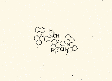 CC1(C)c2cc(N(c3cccc4ccccc34)c3cccc4ccccc34)ccc2-c2c1cc1c3c(cccc23)C(C)(C)c2cc(N(c3cccc4ccccc34)c3cccc4ccccc34)ccc2-1